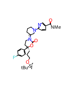 CNC(=O)c1ccc(N2CCC[C@H](N3CC[C@](CCCO[Si](C)(C)C(C)(C)C)(c4ccc(F)cc4)OC3=O)C2)nc1